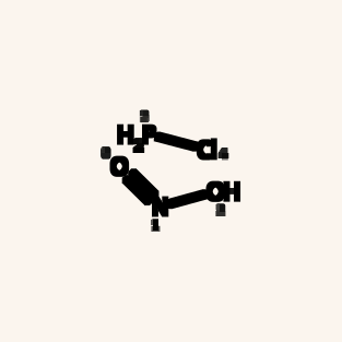 O=NO.PCl